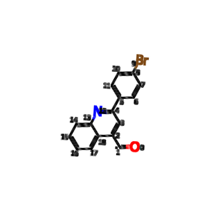 O=[C]c1cc(-c2ccc(Br)cc2)nc2ccccc12